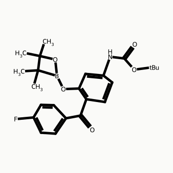 CC(C)(C)OC(=O)Nc1ccc(C(=O)c2ccc(F)cc2)c(OB2OC(C)(C)C2(C)C)c1